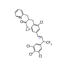 O=C(C1CC1)C(Cc1ccccn1)Cc1ccc(/C=C/C(c2cc(Cl)c(Cl)c(Cl)c2)C(F)(F)F)cc1Cl